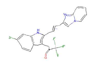 O=C(c1c(/C=C/c2cn3ccccc3n2)[nH]c2cc(Br)ccc12)C(F)(F)F